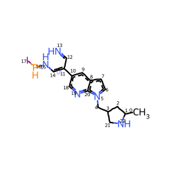 CC1CC(Cn2ccc3cc(/C(C=N)=C/NPI)cnc32)CN1